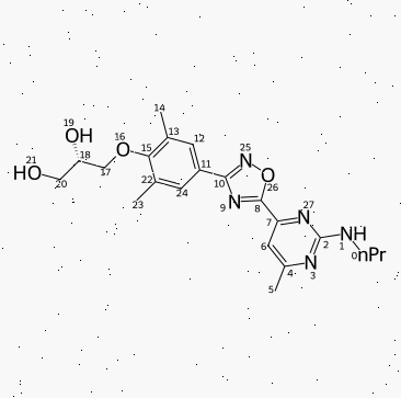 CCCNc1nc(C)cc(-c2nc(-c3cc(C)c(OC[C@@H](O)CO)c(C)c3)no2)n1